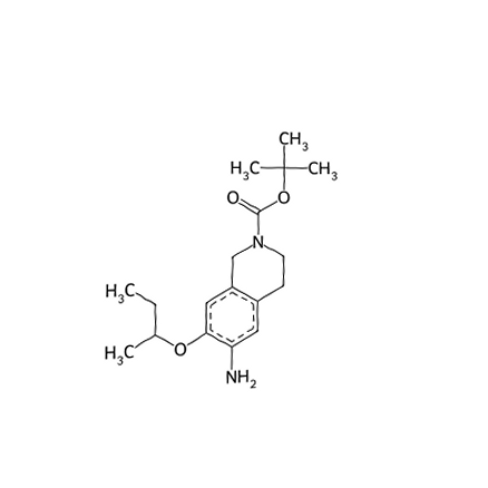 CCC(C)Oc1cc2c(cc1N)CCN(C(=O)OC(C)(C)C)C2